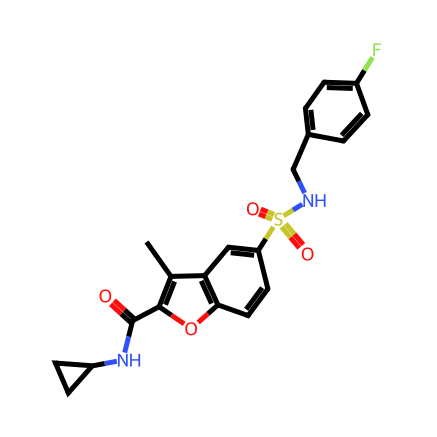 Cc1c(C(=O)NC2CC2)oc2ccc(S(=O)(=O)NCc3ccc(F)cc3)cc12